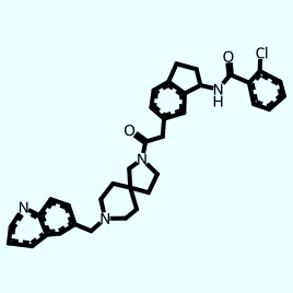 O=C(NC1CCc2ccc(CC(=O)N3CCC4(CCN(Cc5ccc6ncccc6c5)CC4)C3)cc21)c1ccccc1Cl